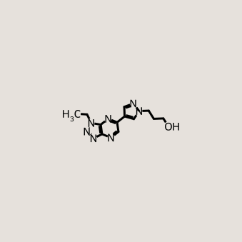 CCn1nnc2ncc(-c3cnn(CCCO)c3)nc21